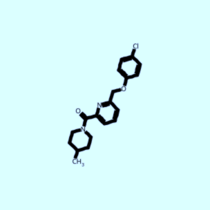 CC1CCN(C(=O)c2cccc(COc3ccc(Cl)cc3)n2)CC1